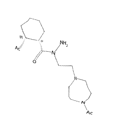 CC(=O)[C@@H]1CCCC[C@@H]1C(=O)N(N)CCN1CCN(C(C)=O)CC1